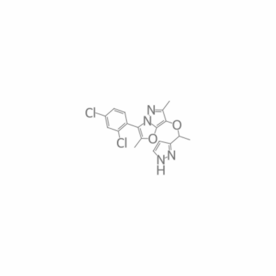 Cc1nn2c(-c3ccc(Cl)cc3Cl)c(C)oc2c1OC(C)c1cc[nH]n1